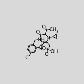 CC(=O)C(C(=O)NCc1ccc(Cl)cc1Cl)N(C(=O)CP(=O)(O)O)C1CC1